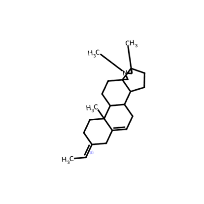 C/C=C1\CCC2(C)C(=CCC3C2CCC24CN(C)C(C)C2CCC34)C1